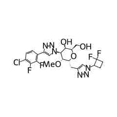 CO[C@@H]1[C@@H](n2cc(-c3ccc(Cl)c(F)c3F)nn2)[C@@H](O)[C@@H](CO)O[C@@H]1Cc1cn(C2CCC2(F)F)nn1